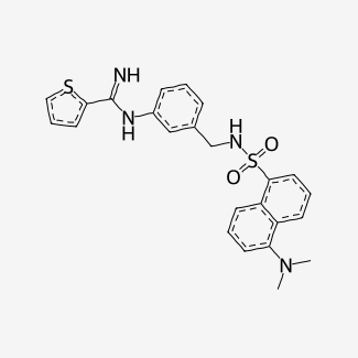 CN(C)c1cccc2c(S(=O)(=O)NCc3cccc(NC(=N)c4cccs4)c3)cccc12